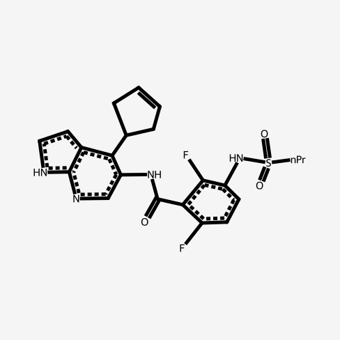 CCCS(=O)(=O)Nc1ccc(F)c(C(=O)Nc2cnc3[nH]ccc3c2C2CC=CC2)c1F